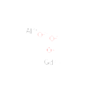 [Al+3].[Gd+3].[O-2].[O-2].[O-2]